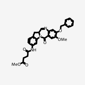 COC(=O)CCC(=O)Nc1c#cc2c(c1)N1C(=O)c3cc(OC)c(OCc4ccccc4)cc3N=CC1C2